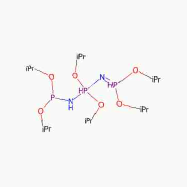 CC(C)OP(N[PH](N=[PH](OC(C)C)OC(C)C)(OC(C)C)OC(C)C)OC(C)C